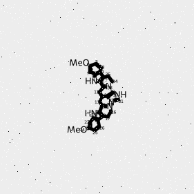 COc1ccc2c3c([nH]c2c1)C(CC(CC1=NCCc2c1[nH]c1cc(OC)ccc21)c1c[nH]cn1)=NCC3